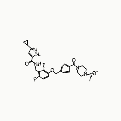 Cn1nc(C2CC2)cc1C(=O)NCc1c(F)ccc(OCc2ccc(C(=O)N3CCN([S+](C)[O-])CC3)cc2)c1F